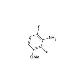 COc1ccc(F)c(N)c1F